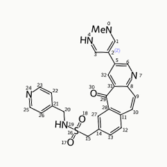 CN/C=C(\C=N)c1cnc2ccc3ccc(CS(=O)(=O)NCc4ccncc4)cc3c(=O)c2c1